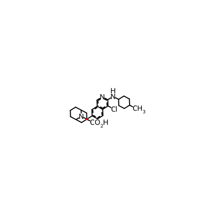 CC1CCC(Nc2ncc3cc(CN4C5CCCC4CC(C(=O)O)C5)ccc3c2Cl)CC1